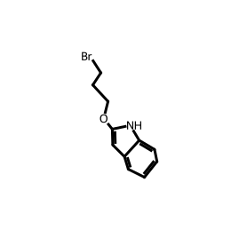 BrCCCOc1cc2ccccc2[nH]1